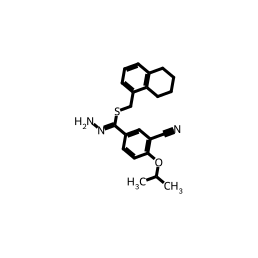 CC(C)Oc1ccc(/C(=N/N)SCc2cccc3c2CCCC3)cc1C#N